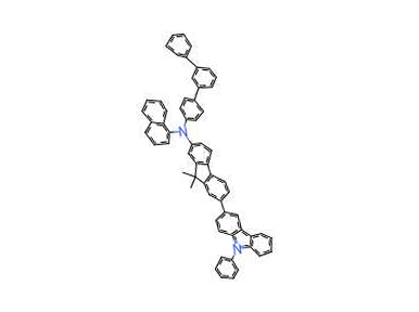 CC1(C)c2cc(-c3ccc4c(c3)c3ccccc3n4-c3ccccc3)ccc2-c2ccc(N(c3ccc(-c4cccc(-c5ccccc5)c4)cc3)c3cccc4ccccc34)cc21